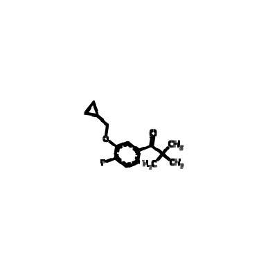 CC(C)(C)C(=O)c1ccc(F)c(OCC2CC2)c1